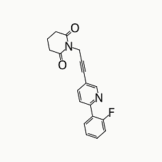 O=C1CCCC(=O)N1CC#Cc1ccc(-c2ccccc2F)nc1